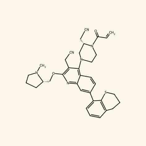 C=CC(=O)N1CCN(c2c(CC#N)c(OC[C@@H]3CCCN3C)nc3cc(-c4cccc5c4SCCC5)ccc23)C[C@@H]1CC#N